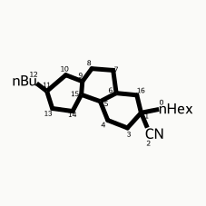 CCCCCCC1(C#N)CCC2C(CCC3CC(CCCC)CCC32)C1